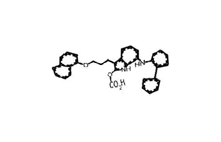 O=C(O)Oc1[nH]c2c(Nc3ccccc3-c3ccccc3)cccc2c1CCCOc1cccc2ccccc12